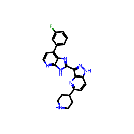 Fc1cccc(-c2ccnc3[nH]c(-c4n[nH]c5ccc(C6CCNCC6)nc45)nc23)c1